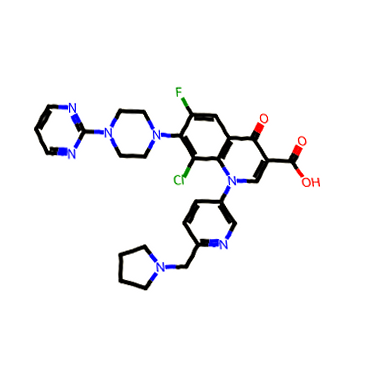 O=C(O)c1cn(-c2ccc(CN3CCCC3)nc2)c2c(Cl)c(N3CCN(c4ncccn4)CC3)c(F)cc2c1=O